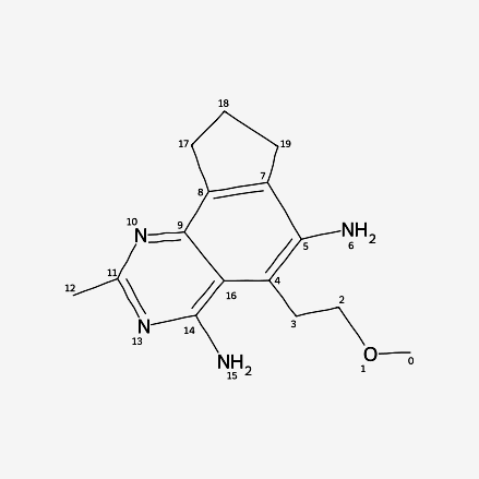 COCCc1c(N)c2c(c3nc(C)nc(N)c13)CCC2